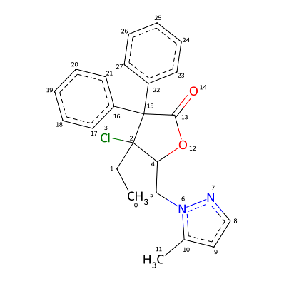 CCC1(Cl)C(Cn2nccc2C)OC(=O)C1(c1ccccc1)c1ccccc1